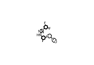 Cc1cc(Nc2ncn(-c3cc(F)cc(F)c3)n2)cc(N2CCCC(N3CCOCC3)C2)c1